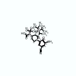 CC(C)[Si](O[C@@H]1CN(c2cc(C#N)cc(N)c2Cl)CC[C@H]1N(C(=O)O)C(C)(C)C)(C(C)C)C(C)C